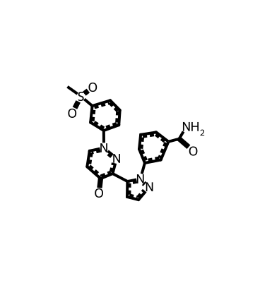 CS(=O)(=O)c1cccc(-n2ccc(=O)c(-c3ccnn3-c3cccc(C(N)=O)c3)n2)c1